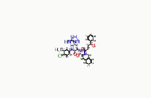 Cc1cc(NC(=O)[C@H](CCNC(=N)N)NC(=O)[C@@H]2Cc3ccccc3CN2C(=O)CCC(=O)c2ccccc2)ccc1Cl